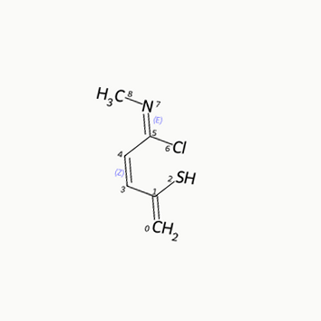 C=C(S)/C=C\C(Cl)=N/C